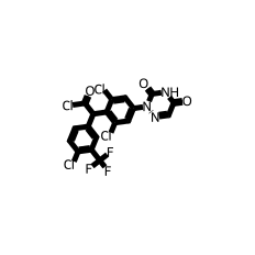 O=C(Cl)C(c1ccc(Cl)c(C(F)(F)F)c1)c1c(Cl)cc(-n2ncc(=O)[nH]c2=O)cc1Cl